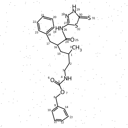 CC(CCNC(=O)OCc1ccccc1)CC(Cc1ccccc1)C(=O)Nc1n[nH]c(=S)s1